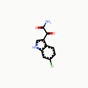 NC(=O)C(=O)c1c[nH]c2cc(Cl)ccc12